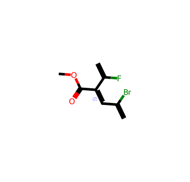 C=C(Br)/C=C(\C(=C)F)C(=O)OC